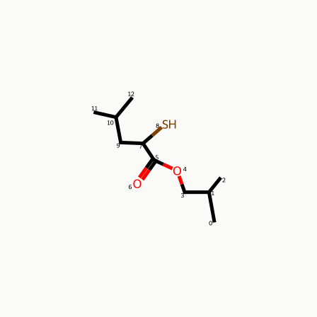 CC(C)COC(=O)C(S)CC(C)C